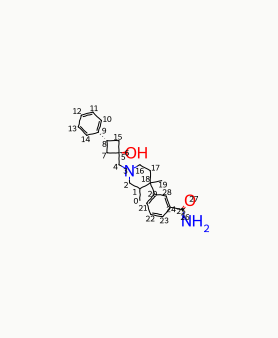 CC1CN(C[C@]2(O)C[C@H](c3ccccc3)C2)CCC1(C)c1cccc(C(N)=O)c1